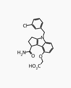 NC(=O)C1CCc2c1c1c(OCC(=O)O)cccc1n2Cc1cccc(Cl)c1